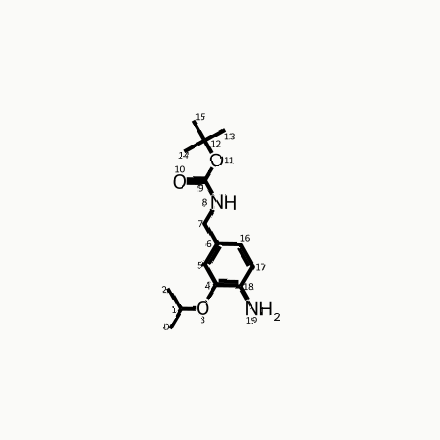 CC(C)Oc1cc(CNC(=O)OC(C)(C)C)ccc1N